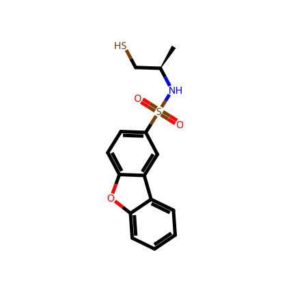 C[C@H](CS)NS(=O)(=O)c1ccc2oc3ccccc3c2c1